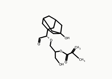 C=C(C)C(=O)OC(CO)CO[C@H](C=O)C12CC3CC(CC(O)(C3)C1)C2